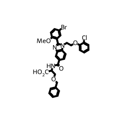 COc1ccc(Br)cc1-c1nc2cc(C(=O)NC(COCc3ccccc3)C(=O)O)ccc2n1CCOc1ccccc1Cl